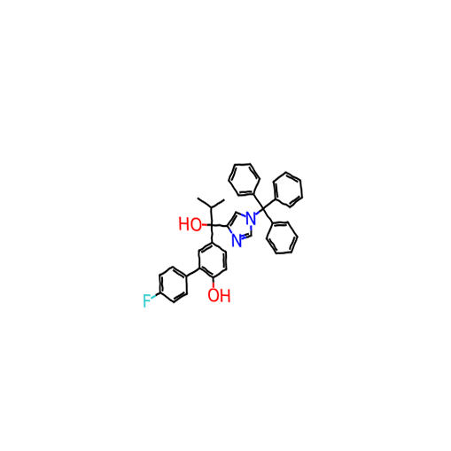 CC(C)C(O)(c1ccc(O)c(-c2ccc(F)cc2)c1)c1cn(C(c2ccccc2)(c2ccccc2)c2ccccc2)cn1